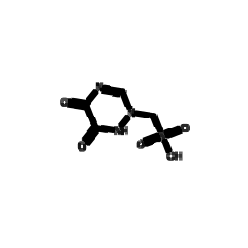 O=c1n[c]n(CS(=O)(=O)O)[nH]c1=O